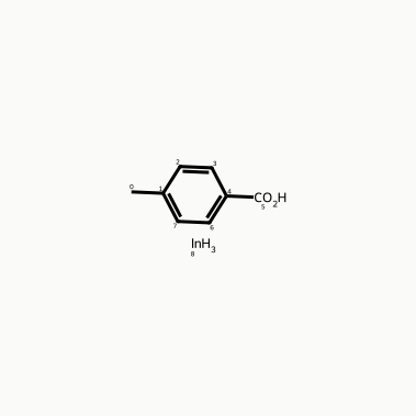 Cc1ccc(C(=O)O)cc1.[InH3]